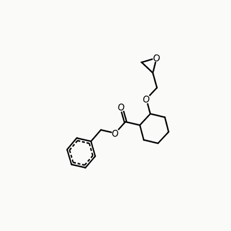 O=C(OCc1ccccc1)C1CCCCC1OCC1CO1